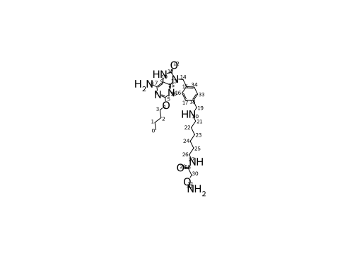 CCCCOc1nc(N)c2[nH]c(=O)n(Cc3ccc(CNCCCCCCNC(=O)CON)cc3)c2n1